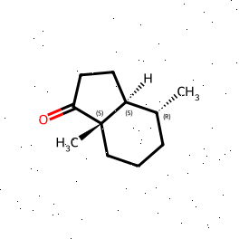 C[C@@H]1CCC[C@]2(C)C(=O)CC[C@@H]12